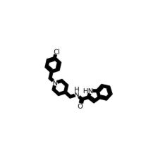 O=C(NCC1CCN(Cc2ccc(Cl)cc2)CC1)c1cc2ccccc2[nH]1